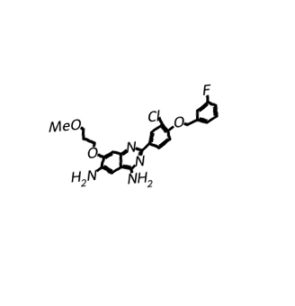 COCCCOc1cc2nc(-c3ccc(OCc4cccc(F)c4)c(Cl)c3)nc(N)c2cc1N